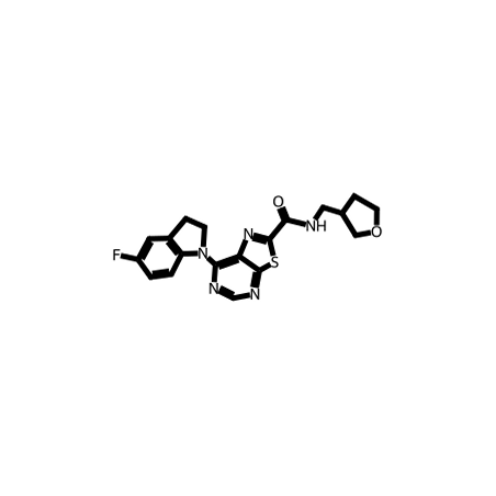 O=C(NCC1CCOC1)c1nc2c(N3CCc4cc(F)ccc43)ncnc2s1